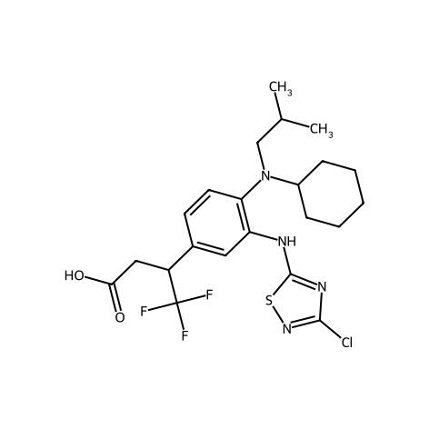 CC(C)CN(c1ccc(C(CC(=O)O)C(F)(F)F)cc1Nc1nc(Cl)ns1)C1CCCCC1